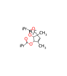 CC1=CC(C)(C)C(OC(=O)C(C)C)C1OC(=O)C(C)C